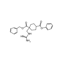 N=C(N)NCC1(C(=O)OCc2ccccc2)CCC(C(=O)Oc2ccccc2)CC1